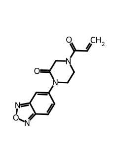 C=CC(=O)N1CCN(c2ccc3nonc3c2)C(=O)C1